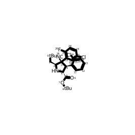 CC(C)(C)C[C@@H]1N[C@@H](C(=O)OC(C)(C)C)[C@H](c2ccccc2Cl)[C@@]1(C#N)c1cc(Cl)ccc1F